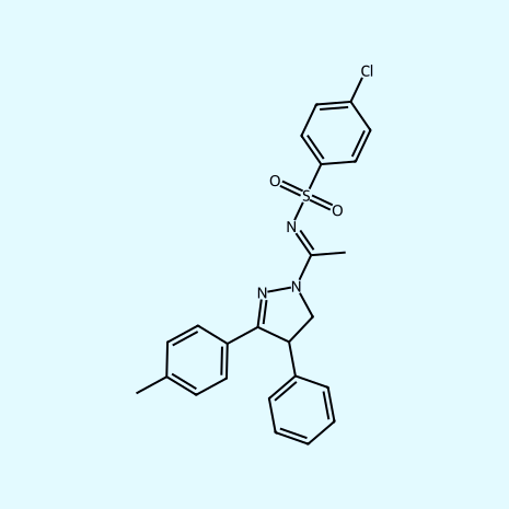 C/C(=N\S(=O)(=O)c1ccc(Cl)cc1)N1CC(c2ccccc2)C(c2ccc(C)cc2)=N1